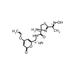 C=COc1cc([C@@H](CCC)NC(=O)[C@]2(N)CSC(/C(C)=N/O)=N2)oc(=O)c1